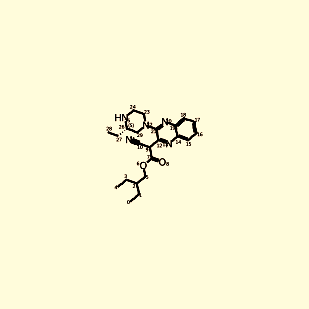 CCC(CC)COC(=O)C(C#N)c1nc2ccccc2nc1N1CCN[C@@H](CC)C1